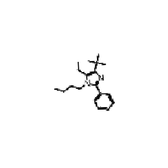 CCCCn1c(-c2ccccc2)nc(C(C)(C)C)c1CC